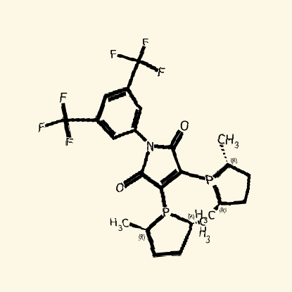 C[C@@H]1CC[C@@H](C)P1C1=C(P2[C@H](C)CC[C@H]2C)C(=O)N(c2cc(C(F)(F)F)cc(C(F)(F)F)c2)C1=O